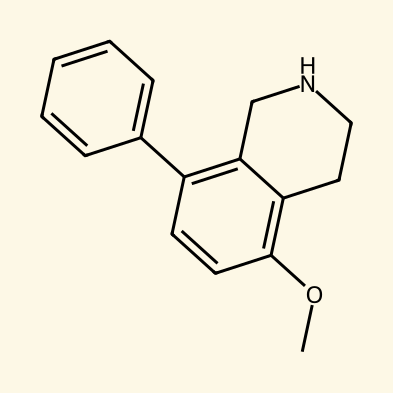 COc1ccc(-c2ccccc2)c2c1CCNC2